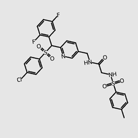 Cc1ccc(S(=O)(=O)NCC(=O)NCc2ccc(C(c3cc(F)ccc3F)S(=O)(=O)c3ccc(Cl)cc3)nc2)cc1